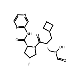 O=CN(O)C[C@@H](CC1CCC1)C(=O)N1C[C@H](F)C[C@H]1C(=O)Nc1cnccn1